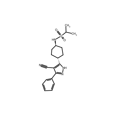 CC(C)S(=O)(=O)N[C@H]1CC[C@H](c2[nH]nc(-c3ccccc3)c2C#N)CC1